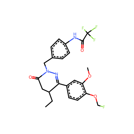 CCC1CC(=O)N(Cc2ccc(NC(=O)C(F)(F)F)cc2)N=C1c1ccc(OCF)c(OC)c1